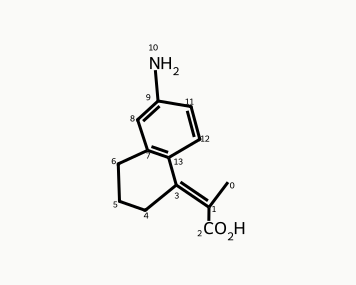 C/C(C(=O)O)=C1/CCCc2cc(N)ccc21